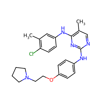 Cc1cc(Nc2nc(Nc3ccc(OCCN4CCCC4)cc3)ncc2C)ccc1Cl